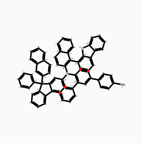 CC(C)(C)c1ccc(-c2ccc(N(c3ccc4c(c3)C(c3ccccc3)(c3ccc5ccccc5c3)c3ccccc3-4)c3ccc4ccccc4c3-c3cccc4c3oc3ccccc34)c(-c3ccccc3)c2)cc1